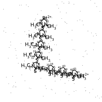 CCN1CCCN(C)C1=S.CCN1CCCN(C)C1=S.CCN1CCCN(C)C1=S.CCN1CCCN(C)C1=S.CN1CCCN(C)C1=S.CN1CCCN(C)C1=S.CN1CCCN(C)C1=S.CN1CCCN(C)C1=S.[Pt+2].[Pt+2]